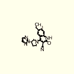 CCc1ccc2[nH]c(=O)c(C#N)c(N3CC[C@@H](n4nccn4)C3)c2c1